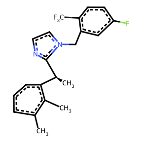 Cc1cccc([C@H](C)c2nccn2Cc2cc(F)ccc2C(F)(F)F)c1C